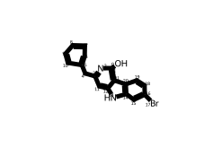 Oc1nc(Cc2ccccc2)cc2[nH]c3cc(Br)ccc3c12